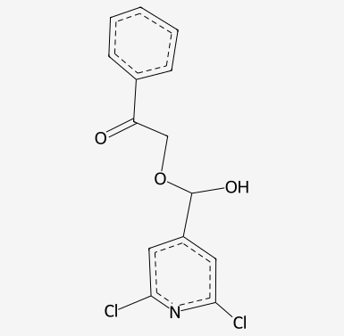 O=C(COC(O)c1cc(Cl)nc(Cl)c1)c1ccccc1